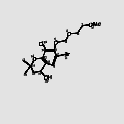 COCCOCOc1c(Br)cc2c(c1Cl)OC(C)(C)CC2O